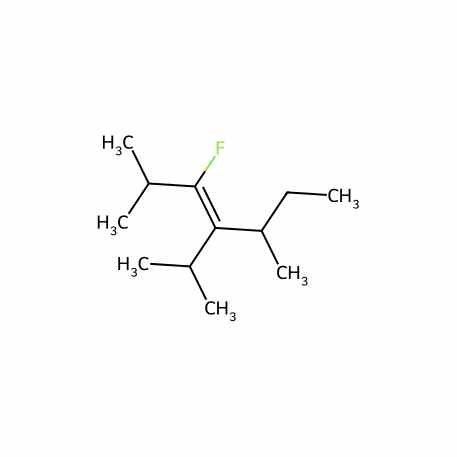 CCC(C)/C(=C(\F)C(C)C)C(C)C